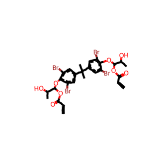 C=CC(=O)OC(Oc1c(Br)cc(C(C)(C)c2cc(Br)c(OC(OC(=O)C=C)C(C)O)c(Br)c2)cc1Br)C(C)O